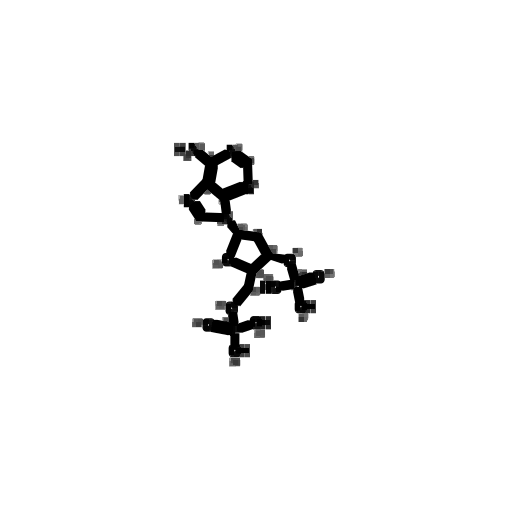 Nc1ncnc2c1ncn2[C@H]1C[C@@H](OP(=O)(O)O)C(COP(=O)(O)O)O1